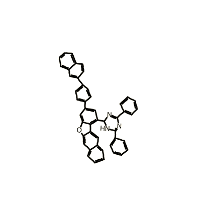 c1ccc(C2=NC(c3cc(-c4ccc(-c5ccc6ccccc6c5)cc4)cc4oc5cc6ccccc6cc5c34)NC(c3ccccc3)=N2)cc1